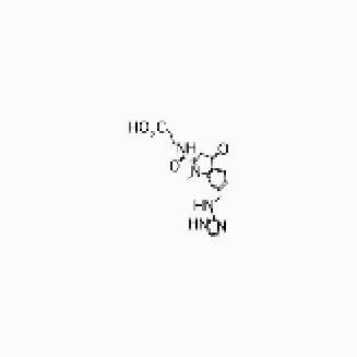 CN1c2cc(CNc3ncc[nH]3)ccc2C(=O)C[C@H]1C(=O)NCCC(=O)O